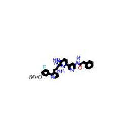 COc1cc(F)cc(-c2nccc3[nH]c(-c4n[nH]c5ccc(-c6cncc(NC(=O)Cc7ccccc7)c6)nc45)cc23)c1